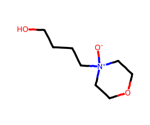 [O-][N+]1(CCCCO)CCOCC1